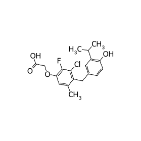 Cc1cc(OCC(=O)O)c(F)c(Cl)c1Cc1ccc(O)c(C(C)C)c1